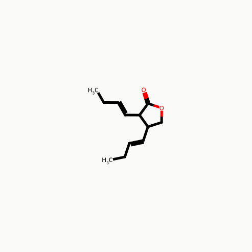 CCC=CC1COC(=O)C1C=CCC